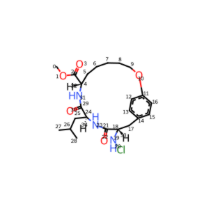 COC(=O)[C@@H]1CCCCCOc2ccc(cc2)C[C@H](NCl)C(=O)N[C@@H](CC(C)C)C(=O)N1